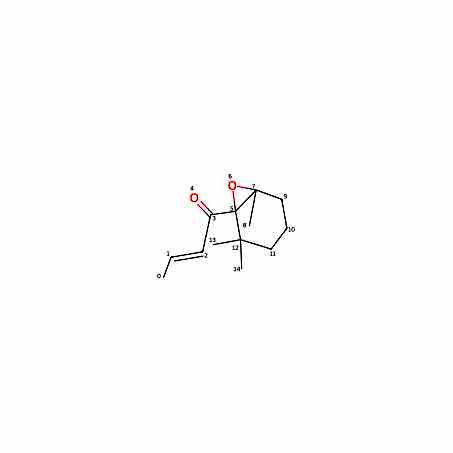 C/C=C/C(=O)C12OC1(C)CCCC2(C)C